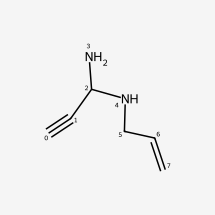 C#CC(N)NCC=C